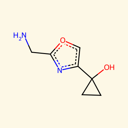 NCc1nc(C2(O)CC2)co1